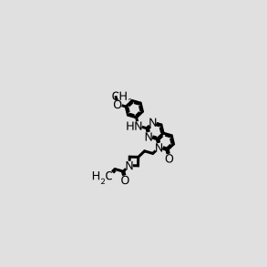 C=CC(=O)N1CC(CCn2c(=O)ccc3cnc(Nc4cccc(OC)c4)nc32)C1